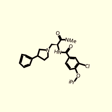 CNC(=O)[C@H](CN1CCC(c2ccccc2)C1)NC(=O)c1ccc(OC(C)C)c(Cl)c1